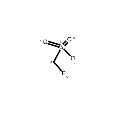 O=S(=O)(Cl)CF